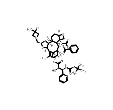 CC(=O)O[C@@]12CO[C@@H]1CC[C@@]1(C)[C@@H]3O[C@H](CN4CC(C)(O)C4)O[C@@H]3C3=C(C)[C@@H](OC(=O)[C@H](O)[C@@H](NC(=O)OC(C)(C)C)c4ccccn4)C[C@@](O)([C@@H](OC(=O)c4ccccc4)[C@@H]12)C3(C)C